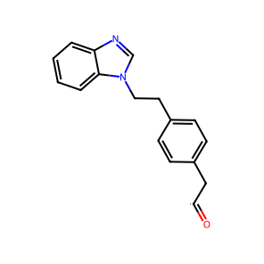 O=[C]Cc1ccc(CCn2cnc3ccccc32)cc1